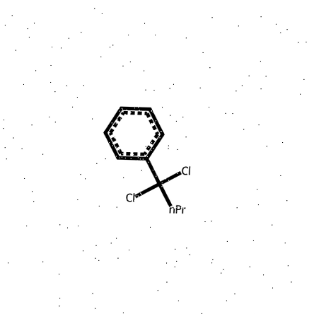 [CH2]CCC(Cl)(Cl)c1ccccc1